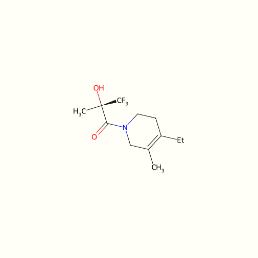 CCC1=C(C)CN(C(=O)[C@](C)(O)C(F)(F)F)CC1